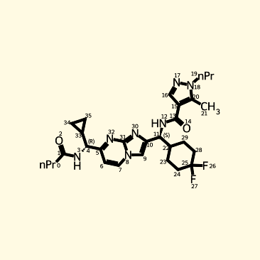 CCCC(=O)N[C@@H](c1ccn2cc([C@@H](NC(=O)c3cnn(CCC)c3C)C3CCC(F)(F)CC3)nc2n1)C1CC1